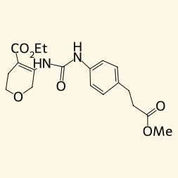 CCOC(=O)C1=C(NC(=O)Nc2ccc(CCC(=O)OC)cc2)COCC1